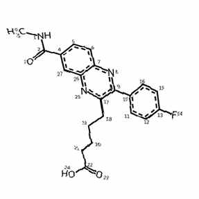 CNC(=O)c1ccc2nc(-c3ccc(F)cc3)c(CCCCC(=O)O)nc2c1